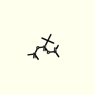 C[SiH](C)O[SiH](O[SiH](C)C)C(C)(C)C